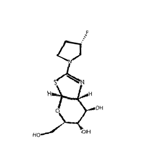 OC[C@H]1O[C@@H]2SC(N3CC[C@H](F)C3)=N[C@@H]2[C@@H](O)[C@H]1O